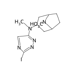 CN(c1cnc(I)nn1)C1CC2CCC(C1)N2C(=O)O